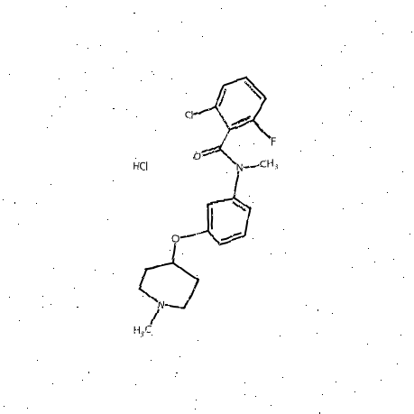 CN1CCC(Oc2cccc(N(C)C(=O)c3c(F)cccc3Cl)c2)CC1.Cl